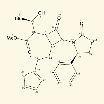 COC(=O)C([C@H](O)C(C)(C)C)N1C(=O)C(N2C(=O)OC[C@H]2c2ccccc2)C1CCc1ccco1